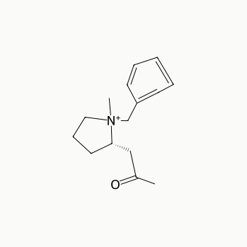 CC(=O)C[C@@H]1CCC[N+]1(C)Cc1ccccc1